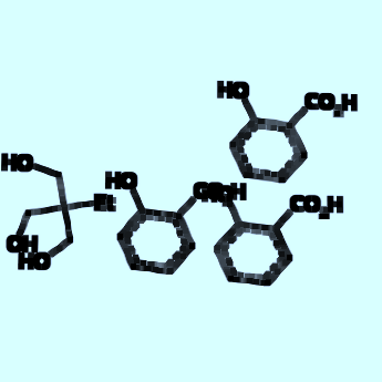 CCC(CO)(CO)CO.O=C(O)c1ccccc1O.O=C(O)c1ccccc1O.O=C(O)c1ccccc1O